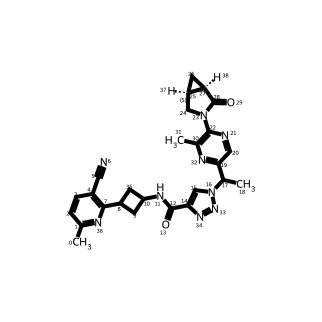 Cc1ccc(C#N)c(C2CC(NC(=O)c3cn(C(C)c4cnc(N5C[C@H]6C[C@H]6C5=O)c(C)n4)nn3)C2)n1